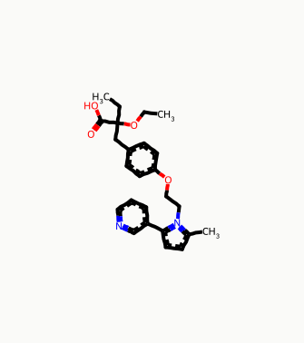 CCOC(CC)(Cc1ccc(OCCn2c(C)ccc2-c2cccnc2)cc1)C(=O)O